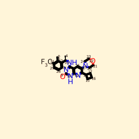 Cc1c([C@@H](C)Nc2nc(=O)[nH]c3nc(C4CCC4)c(N4CCOCC4)cc23)cccc1C(F)(F)F